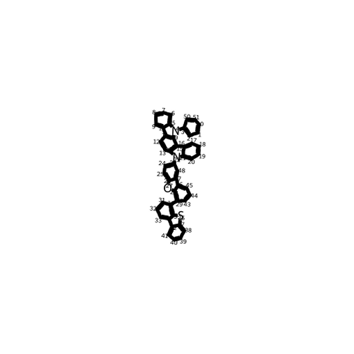 c1ccc(-n2c3ccccc3c3ccc4c(c5ccccc5n4-c4ccc5oc6c(-c7cccc8c7sc7ccccc78)cccc6c5c4)c32)cc1